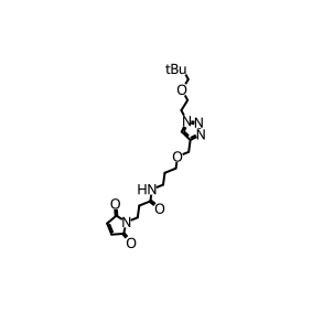 CC(C)(C)COCCn1cc(COCCCNC(=O)CCN2C(=O)C=CC2=O)nn1